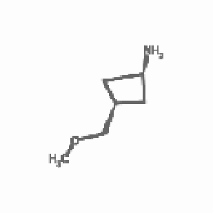 COC[C@H]1C[C@@H](N)C1